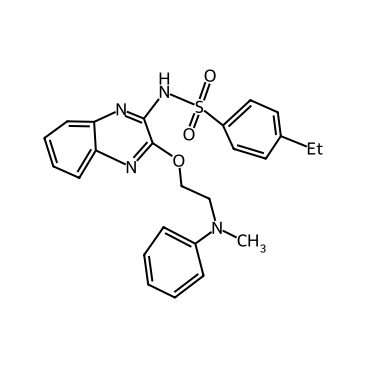 CCc1ccc(S(=O)(=O)Nc2nc3ccccc3nc2OCCN(C)c2ccccc2)cc1